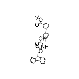 CC(C)(C)OC(=O)c1cccc(-c2ccc(C[C@H](NC(=O)OCC3c4ccccc4-c4ccccc43)C(=O)O)cc2)c1